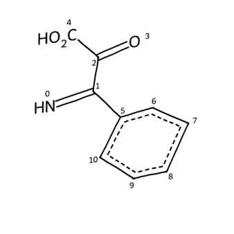 N=C(C(=O)C(=O)O)c1ccccc1